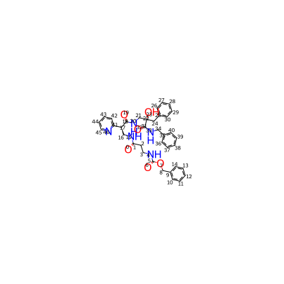 O=C(CCNC(=O)OCc1ccccc1)NC[C@H](C(=O)NC[C@](O)(Cc1ccccc1)C(=O)NCc1ccccc1)c1ccccn1